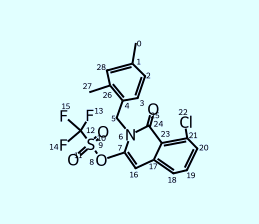 Cc1ccc(Cn2c(OS(=O)(=O)C(F)(F)F)cc3cccc(Cl)c3c2=O)c(C)c1